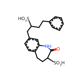 O=C1Nc2cc(CC(CCc3ccccc3)S(=O)(=O)O)ccc2CCC1S(=O)(=O)O